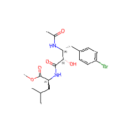 COC(=O)[C@H](CC(C)C)NC(=O)[C@@H](O)[C@@H](Cc1ccc(Br)cc1)NC(C)=O